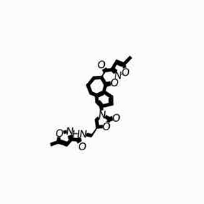 Cc1cc(C(=O)NC[C@H]2CN(c3ccc4c(c3)CCC[C@@H](C(=O)c3cc(C)on3)C4=O)C(=O)O2)no1